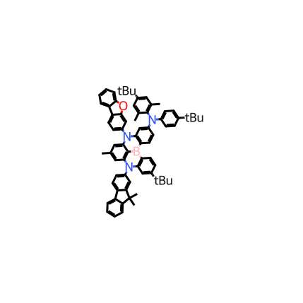 Cc1cc2c3c(c1)N(c1ccc4c(c1)C(C)(C)c1ccccc1-4)c1cc(C(C)(C)C)ccc1B3c1ccc(N(c3ccc(C(C)(C)C)cc3)c3c(C)cc(C(C)(C)C)cc3C)cc1N2c1ccc2c(c1)oc1ccccc12